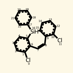 Clc1cccc2c1C=Cc1c(Cl)cccc1[SiH]2c1ccccc1